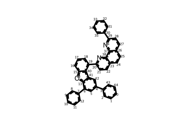 c1ccc(-c2cc(-c3ccccc3)c3oc4cccc(-c5ccc6ccc7ccc(-c8ccccc8)nc7c6n5)c4c3c2)cc1